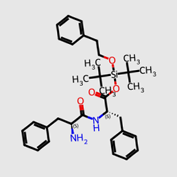 CC(C)(C)[Si](OCCc1ccccc1)(OC(=O)[C@H](Cc1ccccc1)NC(=O)[C@@H](N)Cc1ccccc1)C(C)(C)C